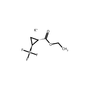 CCOC(=O)[C@H]1C[C@@H]1[B-](F)(F)F.[K+]